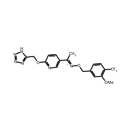 COc1cc(CO/N=C(\C)c2ccc(OCc3nnn[nH]3)nc2)ccc1C(F)(F)F